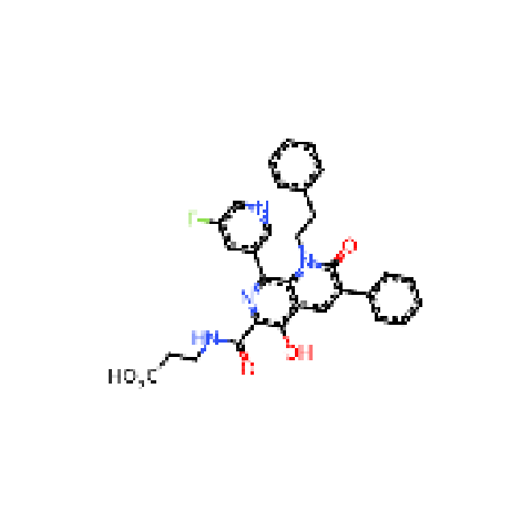 O=C(O)CCNC(=O)c1nc(-c2cncc(F)c2)c2c(cc(-c3ccccc3)c(=O)n2CCc2ccccc2)c1O